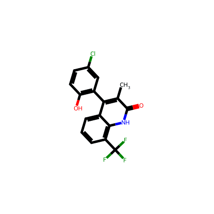 Cc1c(-c2cc(Cl)ccc2O)c2cccc(C(F)(F)F)c2[nH]c1=O